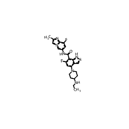 CCNC1CCN(c2cc(F)c(C(=O)Nc3cc(F)c4nc(C)cn4c3)c3[nH]ncc23)CC1